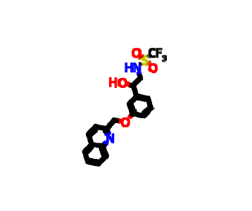 O=S(=O)(NCC(O)c1cccc(OCc2ccc3ccccc3n2)c1)C(F)(F)F